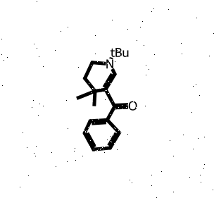 CC1(C)CCN(C(C)(C)C)C=C1C(=O)c1ccccc1